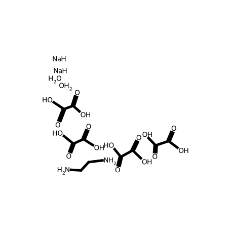 NCCN.O.O.O=C(O)C(=O)O.O=C(O)C(=O)O.O=C(O)C(=O)O.O=C(O)C(=O)O.[NaH].[NaH]